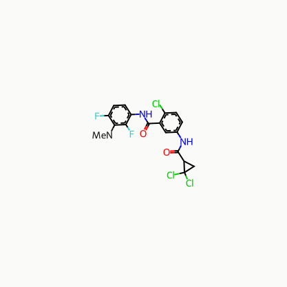 CNc1c(F)ccc(NC(=O)c2cc(NC(=O)C3CC3(Cl)Cl)ccc2Cl)c1F